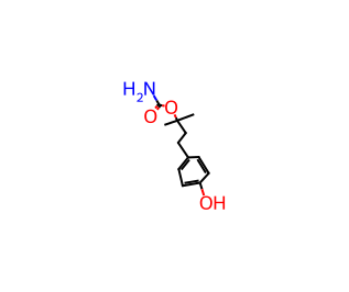 CC(C)(CCc1ccc(O)cc1)OC(N)=O